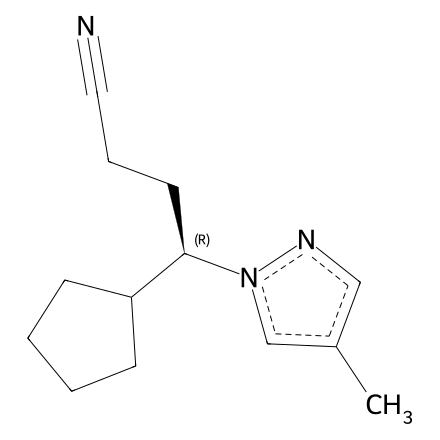 Cc1cnn([C@H](CCC#N)C2CCCC2)c1